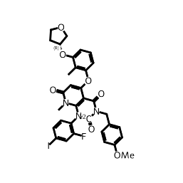 COc1ccc(Cn2c(=O)c3c(Oc4cccc(O[C@@H]5CCOC5)c4C)cc(=O)n(C)c3n(-c3ccc(I)cc3F)[12c]2=O)cc1